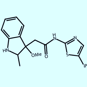 COC1(CC(=O)Nc2ncc(C(C)C)s2)c2ccccc2NC1C